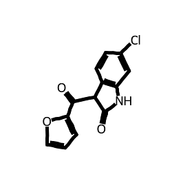 O=C1Nc2cc(Cl)ccc2C1C(=O)c1ccco1